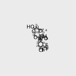 CN(C(=O)O)[C@H]1C[C@]2(C)O[C@]13CCO[C@@H]1[C@H]3[C@H]2C(=O)N1c1ccc(Cl)c(C(F)(F)F)c1